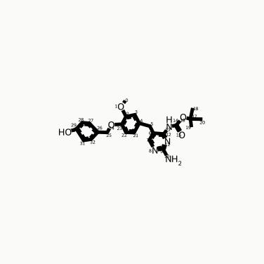 COc1cc(Cc2cnc(N)nc2NC(=O)OC(C)(C)C)ccc1OCc1ccc(O)cc1